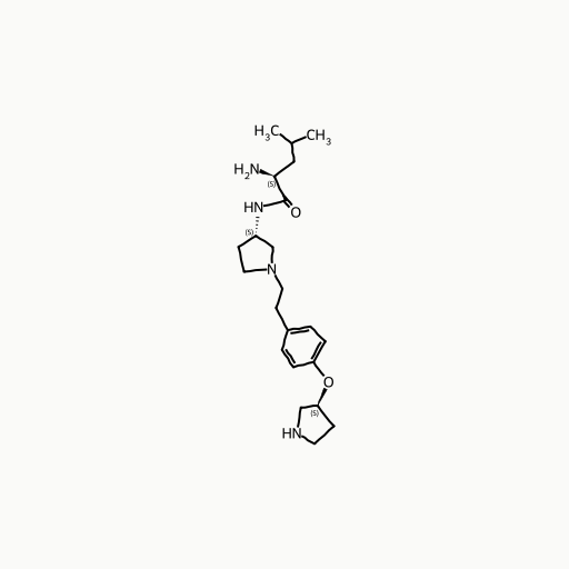 CC(C)C[C@H](N)C(=O)N[C@H]1CCN(CCc2ccc(O[C@H]3CCNC3)cc2)C1